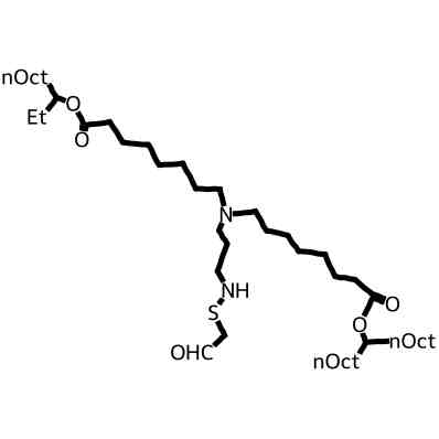 CCCCCCCCC(CC)OC(=O)CCCCCCCN(CCCCCCCC(=O)OC(CCCCCCCC)CCCCCCCC)CCCNSCC=O